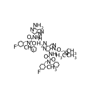 Cc1cc(F)ccc1CN(Cc1ccccc1)C(=O)C(=O)Nc1cnc(N)c2cn[nH]c12.Cc1cc(F)ccc1CN(Cc1ccccc1)C(=O)C(=O)Nc1cnc(N)c2cnn(COCC[Si](C)(C)C)c12